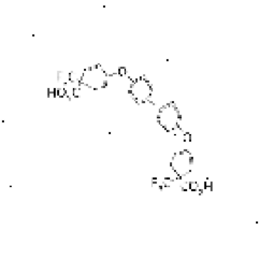 O=C(O)C1(C(F)(F)F)C=CC(Oc2ccc(-c3ccc(OC4=CCC(C(=O)O)(C(F)(F)F)C=C4)cc3)cc2)=CC1